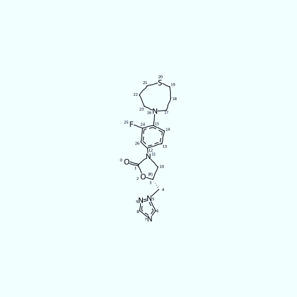 O=C1O[C@@H](Cn2cncn2)CN1c1ccc(N2CCCSCCC2)c(F)c1